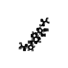 CC(C)C(=O)OC[C@H]1O[C@@H](n2cnc3c(N[C@H]4CCC[C@@H]4OC(=O)C(C)C)ncnc32)[C@H](O)[C@@H]1O